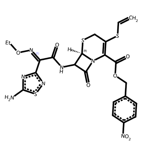 C=CSC1=C(C(=O)OCc2ccc([N+](=O)[O-])cc2)N2C(=O)C(NC(=O)/C(=N/OCC)c3nsc(N)n3)[C@H]2SC1